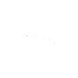 CC1(C(=O)N(CCCC(=O)O)Cc2ccc3cn[nH]c3c2)CCN1C(=O)Cc1occ2ccccc12